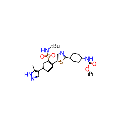 Cc1[nH]ncc1-c1ccc(-c2cnc(C3CCC(NC(=O)OC(C)C)CC3)s2)c(S(=O)(=O)NC(C)(C)C)c1